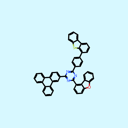 c1ccc2c(c1)oc1cccc(-c3nc(-c4ccc(-c5cccc6c5sc5ccccc56)cc4)nc(-c4ccc5c6ccccc6c6ccccc6c5c4)n3)c12